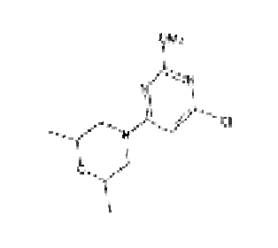 COc1nc(Cl)cc(N2CC(C)OC(C)C2)n1